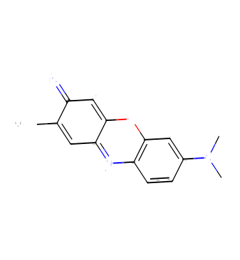 COc1cc2nc3ccc(N(C)C)cc3oc-2cc1=N